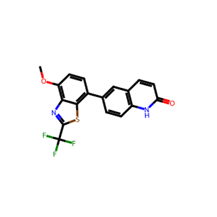 COc1ccc(-c2ccc3[nH]c(=O)ccc3c2)c2sc(C(F)(F)F)nc12